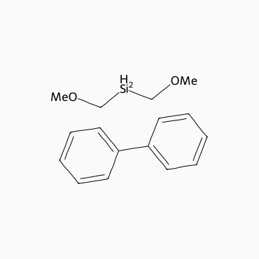 COC[SiH2]COC.c1ccc(-c2ccccc2)cc1